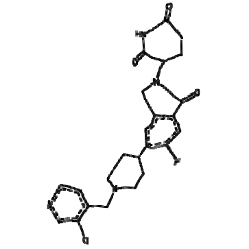 O=C1CCC(N2Cc3cc(C4CCN(Cc5ccncc5Cl)CC4)c(F)cc3C2=O)C(=O)N1